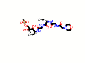 CC(C)C[C@H](NC(=O)CNC(=O)CN1CCOCC1)C(=O)NCC(=O)N[C@@H](CC(C)C)C(=O)[C@](C)(O)COS(C)(=O)=O